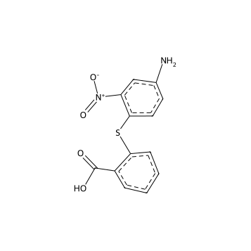 Nc1ccc(Sc2ccccc2C(=O)O)c([N+](=O)[O-])c1